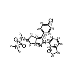 CN(C)S(=O)(=O)N(C)[C@@H]1Cc2nn(-c3cccc4c3OCC4)c(-c3ccc(Cl)cc3)c2C1